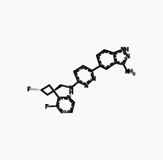 Nc1n[nH]c2ccc(-c3ccc(NC[C@]4(c5ncccc5F)C[C@@H](F)C4)nn3)cc12